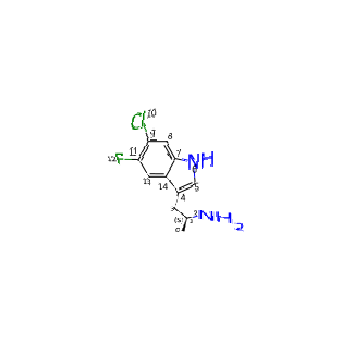 C[C@H](N)Cc1c[nH]c2cc(Cl)c(F)cc12